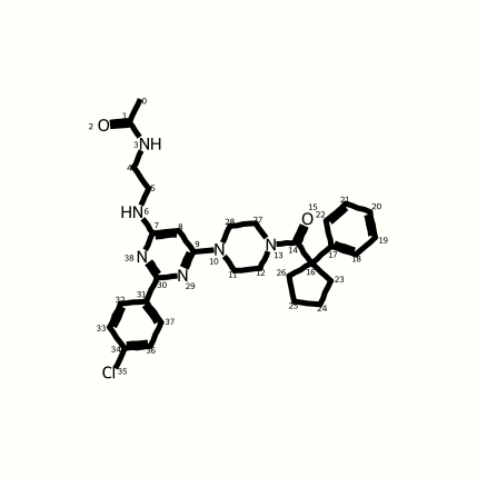 CC(=O)NCCNc1cc(N2CCN(C(=O)C3(c4ccccc4)CCCC3)CC2)nc(-c2ccc(Cl)cc2)n1